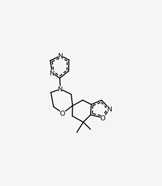 CC1(C)CC2(Cc3cnoc31)CN(c1ccncn1)CCO2